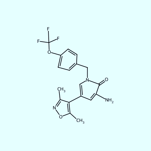 Cc1noc(C)c1-c1cc(N)c(=O)n(Cc2ccc(OC(F)(F)F)cc2)c1